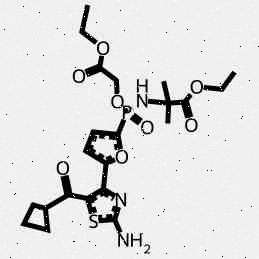 CCOC(=O)COP(=O)(NC(C)(C)C(=O)OCC)c1ccc(-c2nc(N)sc2C(=O)C2CCC2)o1